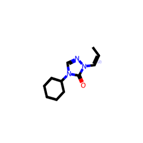 C/C=C\n1ncn(C2CCCCC2)c1=O